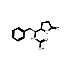 O=C(O)N[C@@H](Cc1ccccc1)C1CCC(=O)O1